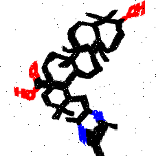 Cc1nc(C)c(CC2C3C4=CCC5C6(C)CCC(O)C(C)(C)C6CCC5(C)C4(C)CCC3(C(=O)O)CCC2(C)C)nc1C